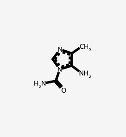 Cc1ncn(C(N)=O)c1N